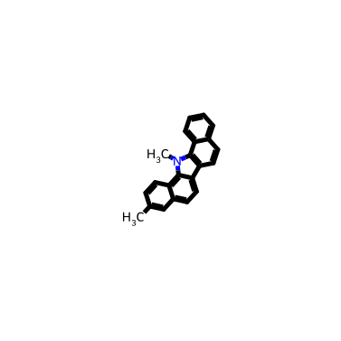 Cc1ccc2c(ccc3c4ccc5ccccc5c4n(C)c23)c1